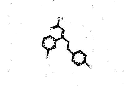 O=C(O)/C=C(/CCc1ccc(Cl)cc1)c1cccc(F)c1